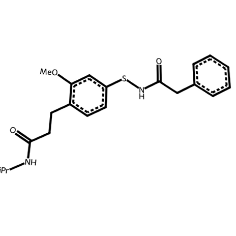 COc1cc(SNC(=O)Cc2ccccc2)ccc1CCC(=O)NC(C)C